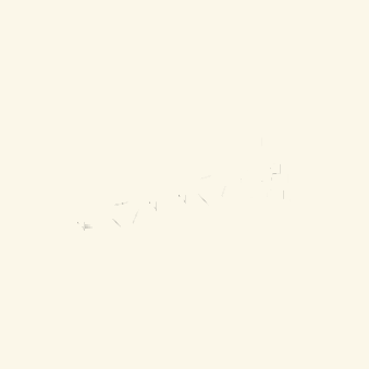 CC1(C)OB(c2ccc(N3CCN(c4ccc(C#N)cc4)CC3)cc2)OC1(C)C